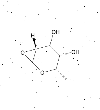 C[C@@H]1OC2O[C@@H]2C(O)[C@@H]1O